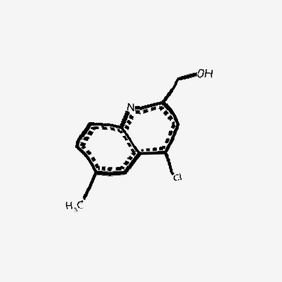 Cc1ccc2nc(CO)cc(Cl)c2c1